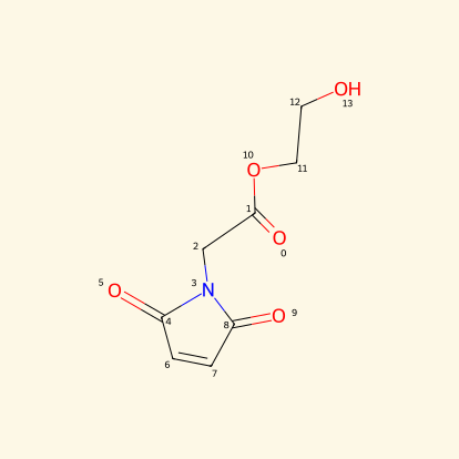 O=C(CN1C(=O)C=CC1=O)OCCO